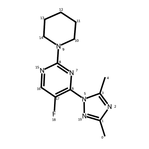 Cc1nc(C)n(-c2nc(N3CCCCC3)ncc2F)n1